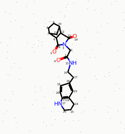 O=C(CN1C(=O)C2C3CCC(C3)C2C1=O)NCCc1ccc2c(c1)CCCN2